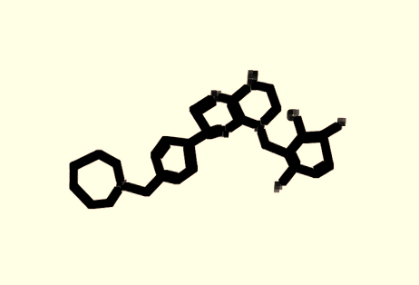 Fc1ccc(F)c(CN2CCNc3ncc(-c4ccc(CN5CCCCCC5)cc4)nc32)c1Cl